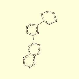 c1ccc(-c2cccc(-c3cc4ccccc4cn3)n2)cc1